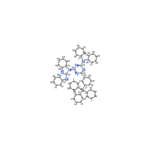 c1ccc([Si](c2ccccc2)(c2ccccc2)c2cccc(-c3nc(-n4c5ccccc5c5ccccc54)nc(-n4c5ccccc5n5c6ccccc6nc45)n3)c2)cc1